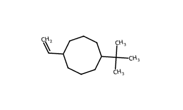 C=CC1CCCC(C(C)(C)C)CCC1